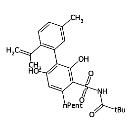 C=C(C)c1ccc(C)cc1-c1c(O)cc(CCCCC)c(S(=O)(=O)NC(=O)C(C)(C)C)c1O